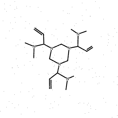 C=CC(N(C)C)N1CN(C(C=C)N(C)C)CN(C(C=C)N(C)C)C1